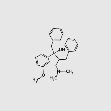 COc1cccc(C(O)(Cc2ccccc2)C(Cc2ccccc2)CN(C)C)c1